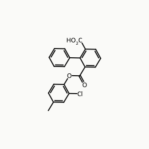 Cc1ccc(OC(=O)c2cccc(C(=O)O)c2-c2ccccc2)c(Cl)c1